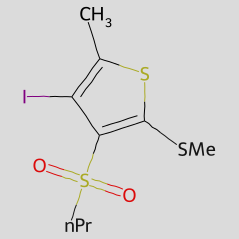 CCCS(=O)(=O)c1c(SC)sc(C)c1I